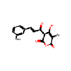 COc1cccc(C=CC(=O)C2C(=O)OC(=O)C(C(C)=O)=C2O)c1